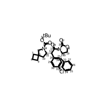 CC(C)(C)OC(=O)N1CC2(CCC2)C[C@H]1C(C(=O)N1C(=O)OC[C@@H]1Cc1ccccc1)c1ccc(Cl)cc1